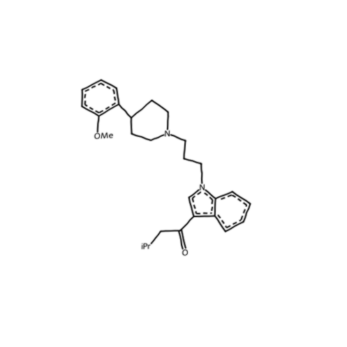 COc1ccccc1C1CCN(CCCn2cc(C(=O)CC(C)C)c3ccccc32)CC1